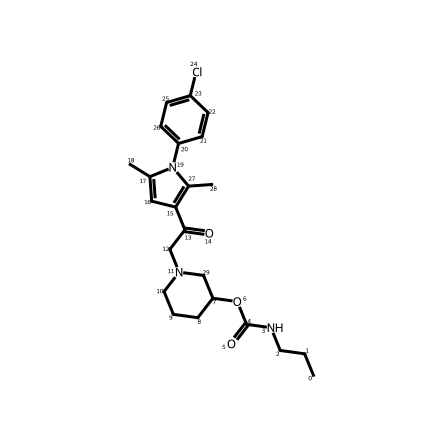 CCCNC(=O)OC1CCCN(CC(=O)c2cc(C)n(-c3ccc(Cl)cc3)c2C)C1